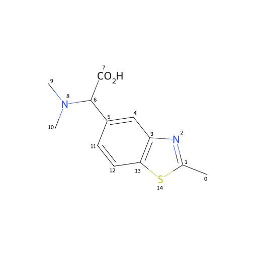 Cc1nc2cc(C(C(=O)O)N(C)C)ccc2s1